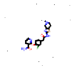 CN1CCc2sc(NC(=O)Cc3ccc(Oc4ncccc4C(N)=O)c(F)c3)nc2C1